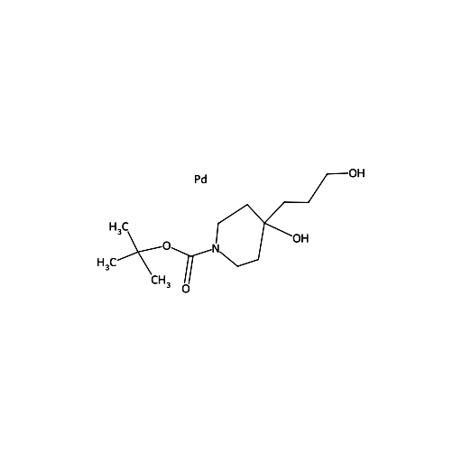 CC(C)(C)OC(=O)N1CCC(O)(CCCO)CC1.[Pd]